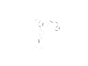 COc1nc2c(c(N3CCN(C(=O)/C=C/CN(C)C)CC3)n1)CCN(/C(C)=C/C=C\c1ccccc1)C2